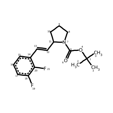 CC(C)(C)OC(=O)N1CCCC1/C=C/c1cccc(F)c1F